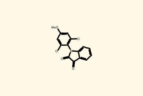 COc1cc(Cl)c(N2C(=O)C(=O)c3ccccc32)c(Cl)c1